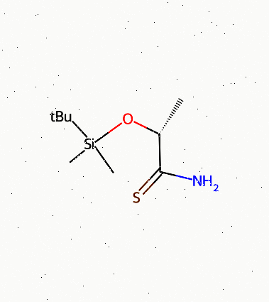 C[C@@H](O[Si](C)(C)C(C)(C)C)C(N)=S